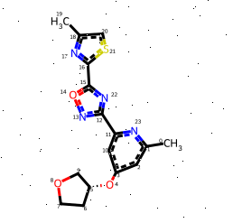 Cc1cc(O[C@@H]2CCOC2)cc(-c2noc(-c3nc(C)cs3)n2)n1